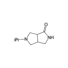 CC(C)N1CC2CNC(=O)C2C1